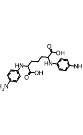 Nc1ccc(NC(CCCC(Nc2ccc(N)cc2)C(=O)O)C(=O)O)cc1